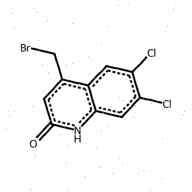 O=c1cc(CBr)c2cc(Cl)c(Cl)cc2[nH]1